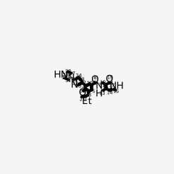 CCC1(C)Cc2cc(C(=O)NCc3c(C)cc(C)[nH]c3=O)cc(-c3ccc(N4CCNCC4)nc3)c2O1